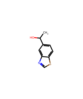 CC(O)c1ccc2scnc2c1